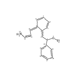 CCOC(\C=c1/cccc/c1=C/C=C\N)c1ccccc1